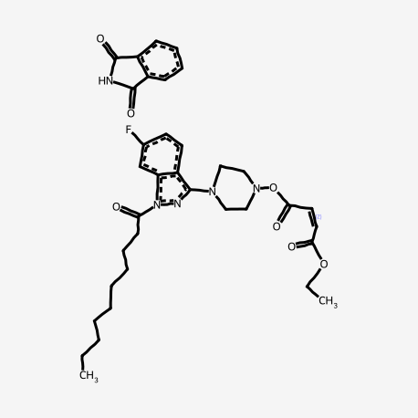 CCCCCCCCCC(=O)n1nc(N2CCN(OC(=O)/C=C\C(=O)OCC)CC2)c2ccc(F)cc21.O=C1NC(=O)c2ccccc21